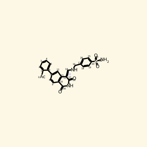 CC(=O)c1ccccc1-c1ccc2c(c1)/C(=C/NCc1ccc(S(N)(=O)=O)cc1)C(=O)NC2=O